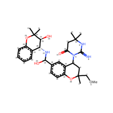 COCC1(C)CC(N2C(=N)NC(C)(C)CC2=O)c2cc(C(O)N[C@@H]3c4ccccc4OC(C)(C)[C@H]3O)ccc2O1